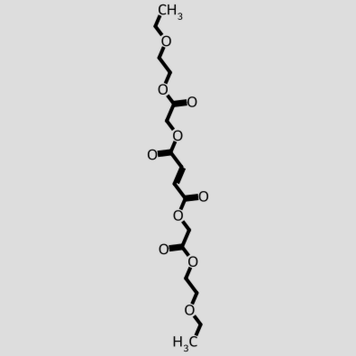 CCOCCOC(=O)COC(=O)/C=C/C(=O)OCC(=O)OCCOCC